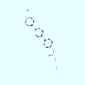 CCCCCCOc1ccc(-c2ncc(-c3ccc(OC(=O)CCCCC(C)CC)cc3)cn2)cc1